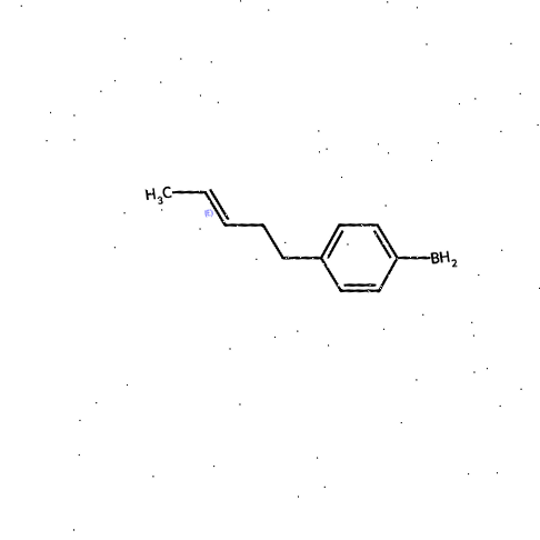 Bc1ccc(CC/C=C/C)cc1